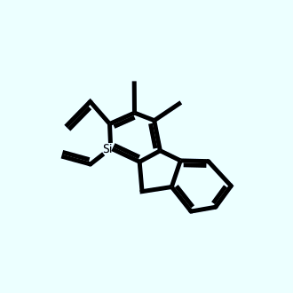 C=Cc1c(C)c(C)c2c([si]1C=C)Cc1ccccc1-2